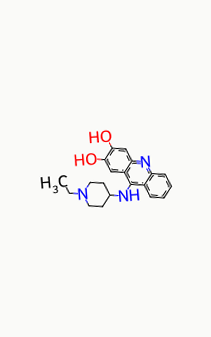 CCN1CCC(Nc2c3ccccc3nc3cc(O)c(O)cc23)CC1